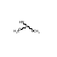 COCCCN(CC[NH])CCCOC